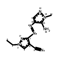 CCn1cc(C#N)c(N=Nc2cnn(C)c2N)n1